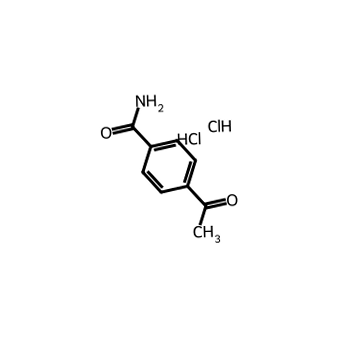 CC(=O)c1ccc(C(N)=O)cc1.Cl.Cl